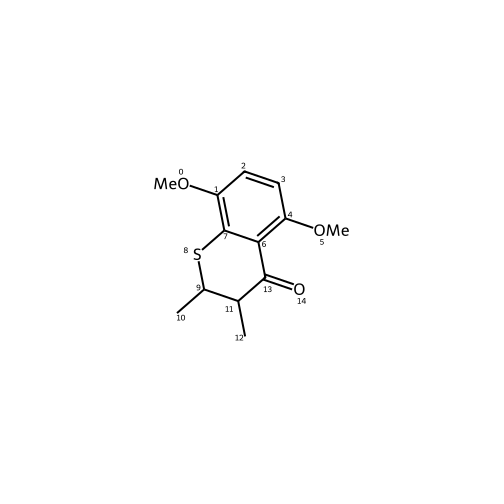 COc1ccc(OC)c2c1SC(C)C(C)C2=O